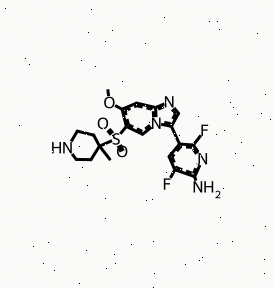 COc1cc2ncc(-c3cc(F)c(N)nc3F)n2cc1S(=O)(=O)C1(C)CCNCC1